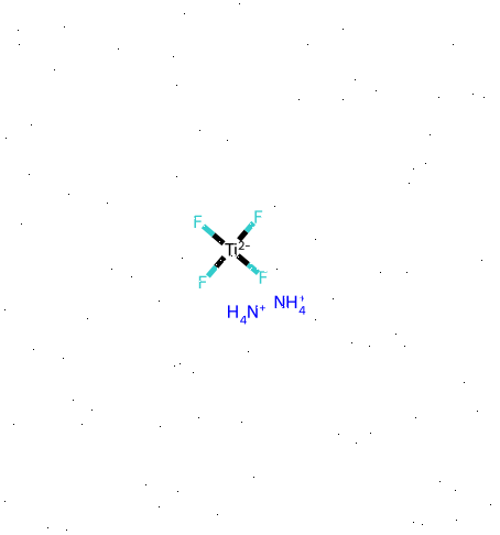 [F][Ti-2]([F])([F])[F].[NH4+].[NH4+]